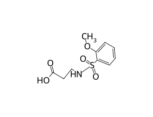 COc1ccccc1S(=O)(=O)NCCC(=O)O